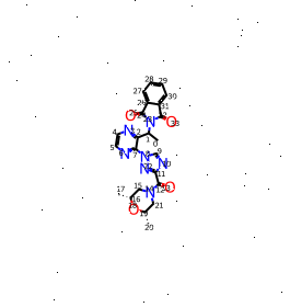 CC(c1nccnc1-n1cnc(C(=O)N2C[C@@H](C)O[C@@H](C)C2)n1)N1C(=O)c2ccccc2C1=O